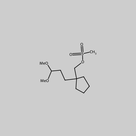 COC(CCC1(COS(C)(=O)=O)CCCC1)OC